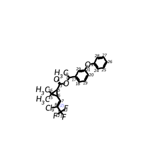 CC(OC(=O)C1C(/C=C(\Cl)C(F)(F)F)C1(C)C)c1cccc(Oc2ccccc2)c1